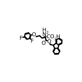 N[C@@](CCCOc1ccc(F)cc1F)(C(=O)O)C(=O)OCC1c2ccccc2-c2ccccc21